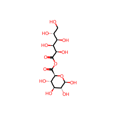 O=C(OC(=O)[C@H](O)[C@@H](O)[C@H](O)[C@H](O)CO)[C@H]1O[C@@H](O)[C@H](O)[C@@H](O)[C@@H]1O